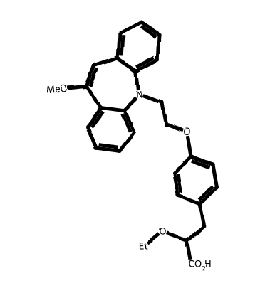 CCOC(Cc1ccc(OCCN2c3ccccc3C=C(OC)c3ccccc32)cc1)C(=O)O